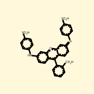 O=C(O)c1ccccc1-c1c2cc/c(=N/c3ccc(S(=O)(=O)O)cc3)cc-2oc2cc(Nc3ccc(S(=O)(=O)O)cc3)ccc12